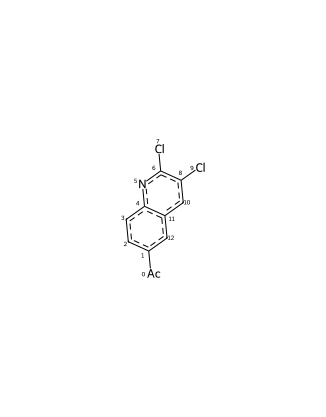 CC(=O)c1ccc2nc(Cl)c(Cl)cc2c1